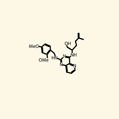 C=C(C)CCC(CO)Nc1nc(NCc2ccc(OC)cc2OC)nc2cccnc12